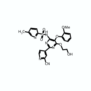 COc1ccccc1Oc1c(NS(=O)(=O)c2ccc(C)cn2)nc(-c2ccnc(C#N)c2)nc1OCCO